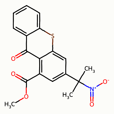 COC(=O)c1cc(C(C)(C)[N+](=O)[O-])cc2sc3ccccc3c(=O)c12